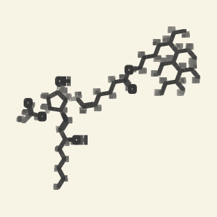 CCCCC[C@H](O)/C=C/[C@@H]1[C@@H](C/C=C\CCCC(=O)OCCCCC(CC)C(CC)C(CC)C(CC)C(C)CC)[C@@H](O)C[C@H]1OC(C)=O